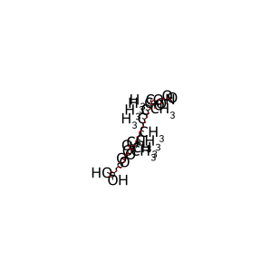 CC1=C(/C=C/C(C)=C/C=C/C(C)=C/C=C/C=C(C)/C=C/C=C(C)/C=C/C2=C(C)C(=O)C(OC(=O)CCC(=O)Oc3ccc(/C=C/c4cc(O)cc(O)c4)cc3)CC2(C)C)C(C)(C)CC(OC(=O)CCC(=O)N=O)C1=O